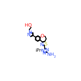 CC(C)n1nc(N)nc1-c1nc2c(s1)CCOc1cc(-c3cnn(CCO)c3)ccc1-2